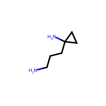 NCCCC1(N)CC1